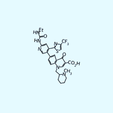 CCNC(=O)Nc1cc(-c2nc(C(F)(F)F)cs2)c(-c2ccc3c(c2)c(=O)c(C(=O)O)cn3CC2CCCCN2C)cn1